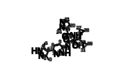 Cc1n[nH]c(C)c1-c1ccc(NC(=O)[C@](O)(NC(=O)c2ccnn2C)C(C2CC2)C2CC2)nn1